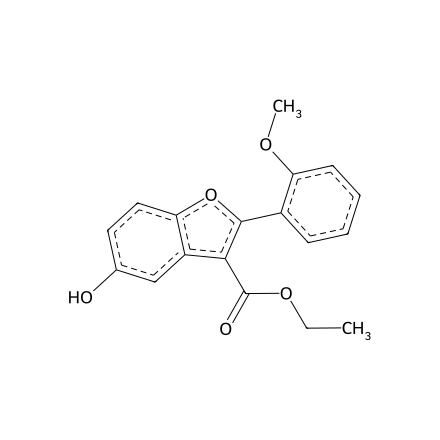 CCOC(=O)c1c(-c2ccccc2OC)oc2ccc(O)cc12